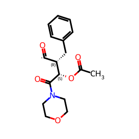 CC(=O)O[C@H](C(=O)N1CCOCC1)[C@H]([C]=O)Cc1ccccc1